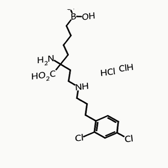 Cl.Cl.NC(CCCCB(O)O)(CCNCCCc1ccc(Cl)cc1Cl)C(=O)O